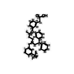 C[C@H](CCN(Cc1cccc(C(F)(F)F)c1)CC(c1ccccc1)c1ccccc1)Oc1cccc(CC(=O)O)c1